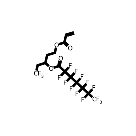 C=CC(=O)OCCC(CC(F)(F)F)OC(=O)C(F)(F)C(F)(F)C(F)(F)C(F)(F)C(F)(F)C(F)(F)F